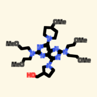 COCCN(CCOC)c1nc(N2CCC(CO)C2)c2nc(N(CCOC)CCOC)nc(N3CCC(OC)CC3)c2n1